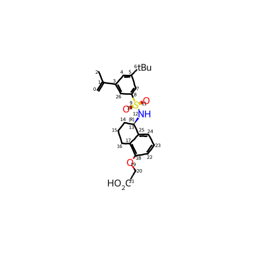 C=C(C)c1cc(C(C)(C)C)cc(S(=O)(=O)N[C@@H]2CCCc3c(OCC(=O)O)cccc32)c1